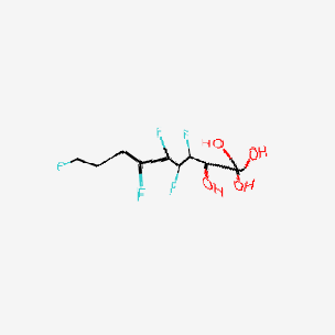 OC(C(F)C(F)C(F)C(F)CCCF)C(O)(O)O